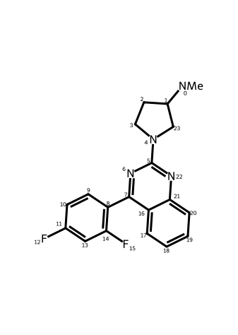 CNC1CCN(c2nc(-c3ccc(F)cc3F)c3ccccc3n2)C1